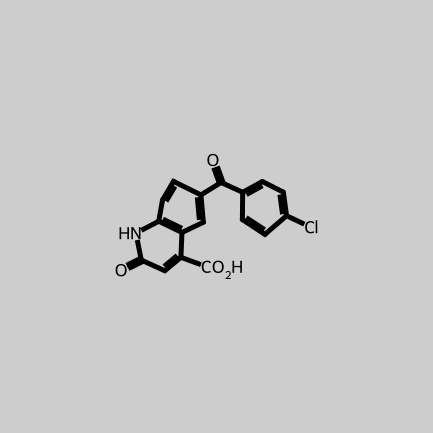 O=C(c1ccc(Cl)cc1)c1ccc2[nH]c(=O)cc(C(=O)O)c2c1